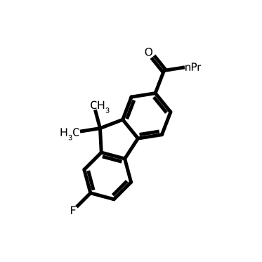 CCCC(=O)c1ccc2c(c1)C(C)(C)c1cc(F)ccc1-2